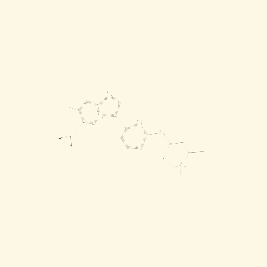 COc1cc2ncc(-c3cccc(NC4CCNC(C)C4)n3)n2cc1C1CC1